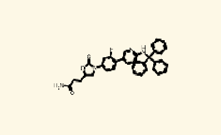 NC(=O)CCC1CN(c2ccc(-c3ccc(NC(c4ccccc4)(c4ccccc4)c4ccccc4)nc3)c(F)c2)C(=O)O1